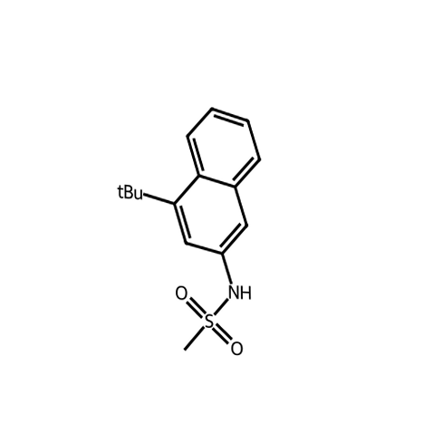 CC(C)(C)c1cc(NS(C)(=O)=O)cc2ccccc12